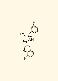 CC(C)CC(C)(Cc1cccc(F)c1)NC(=O)C1C=Nc2c(F)cccc2C1